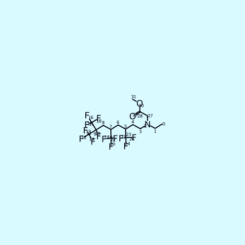 CCN(CCC(CC(CC(F)(C(F)(F)F)C(F)(F)F)C(F)(F)F)C(F)(F)F)CC(=O)OC